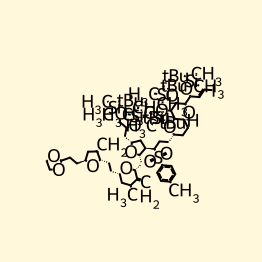 C=C1C[C@H](CCC2OCCO2)O[C@H]1CC[C@H]1CC(C)C(=C)[C@@H](C[C@@H]2O[C@H](CC(CO[Si](C)(C)C(C)(C)C)O[Si](C)(C)C(C)(C)C)C[C@H]2C(CC[C@H]2CC[C@@H]3OC(C(/C=C/I)O[Si](C)(C)C(C)(C)C)C(O[Si](C)(C)C(C)(C)C)C(O[Si](C)(C)C(C)(C)C)[C@]3(I)O2)S(=O)(=O)c2ccc(C)cc2)O1